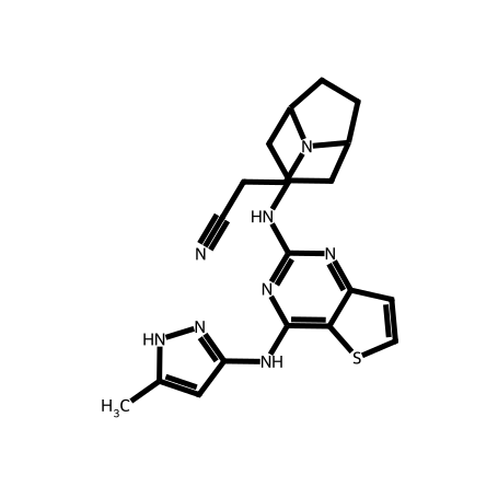 Cc1cc(Nc2nc(NC3CC4CCC(C3)N4CCC#N)nc3ccsc23)n[nH]1